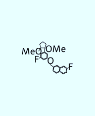 COC1CCCC1(OC)c1cc(F)cc(OCc2ccc3ccc(F)cc3c2)c1